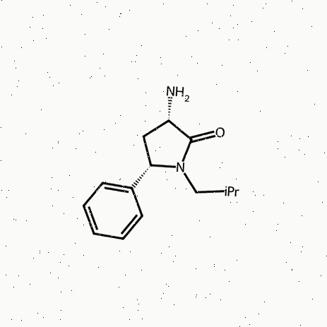 CC(C)CN1C(=O)[C@@H](N)C[C@H]1c1ccccc1